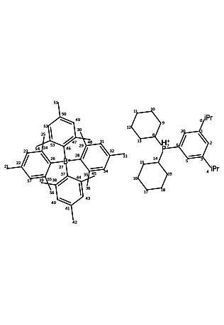 CC(C)c1cc(C(C)C)cc([PH+](C2CCCCC2)C2CCCCC2)c1.Cc1cc(C)c([B-](c2c(C)cc(C)cc2C)(c2c(C)cc(C)cc2C)c2c(C)cc(C)cc2C)c(C)c1